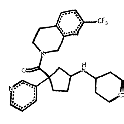 O=C(N1CCc2ccc(C(F)(F)F)cc2C1)C1(c2cccnc2)CCC(NC2CCOCC2)C1